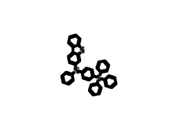 c1ccc(N(c2ccc(S(c3ccccc3)(c3ccccc3)c3ccccc3)cc2)c2ccc3c(c2)sc2ccccc23)cc1